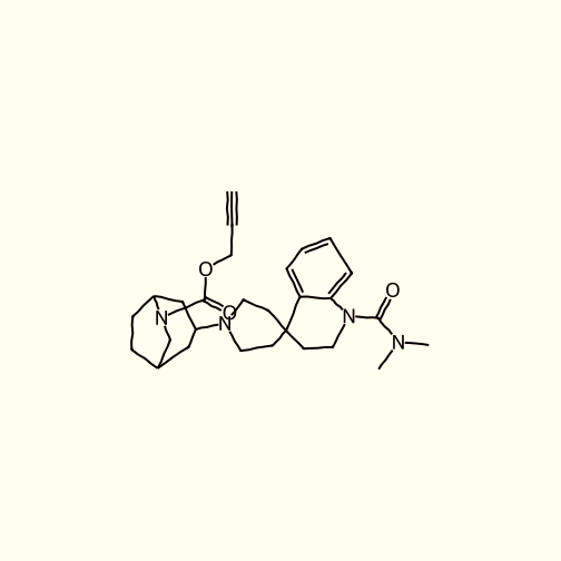 C#CCOC(=O)N1CC2CCC1CC(N1CCC3(CCN(C(=O)N(C)C)c4ccccc43)CC1)C2